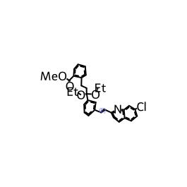 CCOC(CCc1ccccc1C(=O)OC)(OCC)c1cccc(/C=C/c2ccc3ccc(Cl)cc3n2)c1